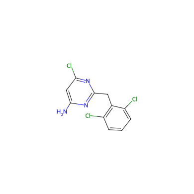 Nc1cc(Cl)nc(Cc2c(Cl)cccc2Cl)n1